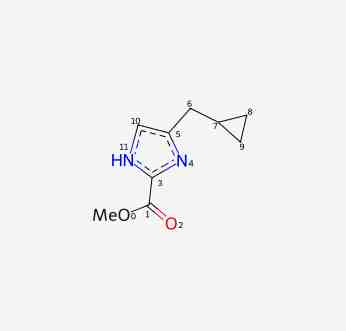 COC(=O)c1nc(CC2CC2)c[nH]1